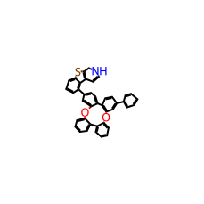 C1=Cc2c(sc3cccc(-c4ccc5c(c4)Oc4ccccc4-c4ccccc4Oc4cc(-c6ccccc6)ccc4-5)c23)CN1